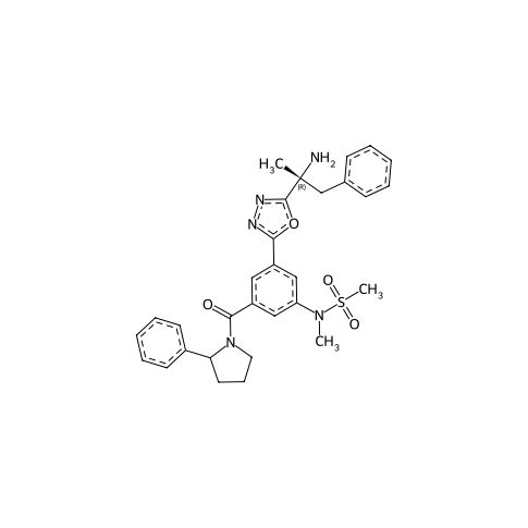 CN(c1cc(C(=O)N2CCCC2c2ccccc2)cc(-c2nnc([C@](C)(N)Cc3ccccc3)o2)c1)S(C)(=O)=O